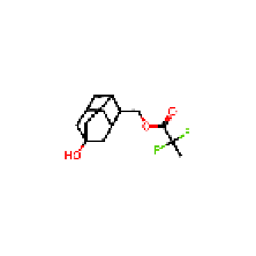 CC(F)(F)C(=O)OCC1C2CC3CC1CC(O)(C3)C2